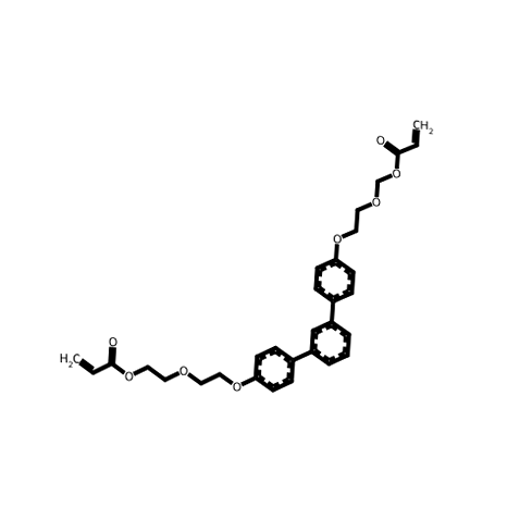 C=CC(=O)OCCOCCOc1ccc(-c2cccc(-c3ccc(OCCOCOC(=O)C=C)cc3)c2)cc1